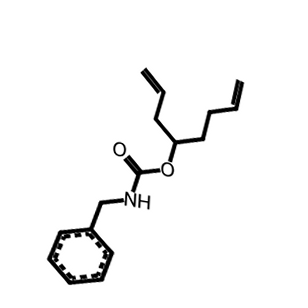 C=CCCC(CC=C)OC(=O)NCc1ccccc1